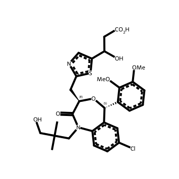 COc1cccc([C@H]2O[C@H](Cc3ncc(C(O)CC(=O)O)s3)C(=O)N(CC(C)(C)CO)c3ccc(Cl)cc32)c1OC